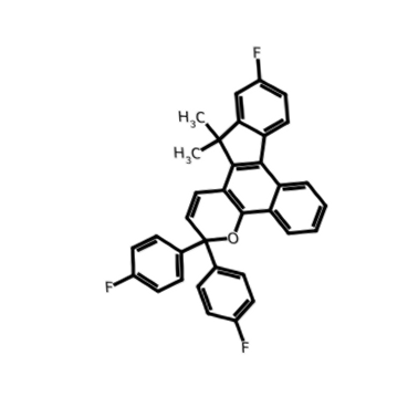 CC1(C)c2cc(F)ccc2-c2c1c1c(c3ccccc23)OC(c2ccc(F)cc2)(c2ccc(F)cc2)C=C1